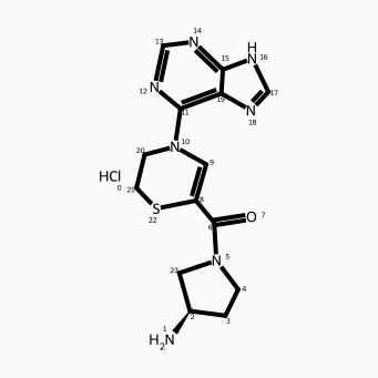 Cl.N[C@@H]1CCN(C(=O)C2=CN(c3ncnc4[nH]cnc34)CCS2)C1